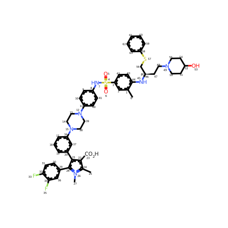 Cc1cc(S(=O)(=O)Nc2ccc(N3CCN(c4cccc(-c5c(C(=O)O)c(C)n(C)c5-c5ccc(F)c(F)c5)c4)CC3)cc2)ccc1N[C@H](CCN1CCC(O)CC1)CSc1ccccc1